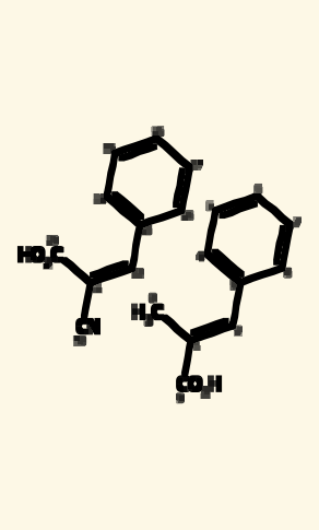 CC(=Cc1ccccc1)C(=O)O.N#CC(=Cc1ccccc1)C(=O)O